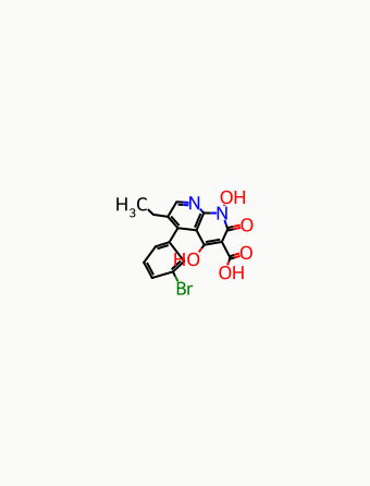 CCc1cnc2c(c(O)c(C(=O)O)c(=O)n2O)c1-c1cccc(Br)c1